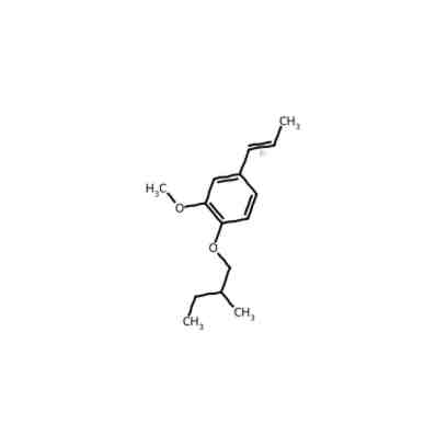 C/C=C/c1ccc(OCC(C)CC)c(OC)c1